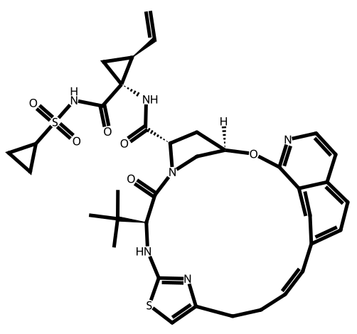 C=C[C@@H]1C[C@]1(NC(=O)[C@@H]1C[C@@H]2CN1C(=O)[C@H](C(C)(C)C)Nc1nc(cs1)CC/C=C\c1ccc3ccnc(c3c1)O2)C(=O)NS(=O)(=O)C1CC1